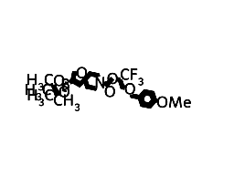 COc1ccc(COCC(OC(=O)N2CCC3(C=C(B4OC(C)(C)C(C)(C)O4)CO3)CC2)C(F)(F)F)cc1